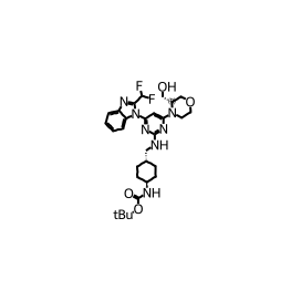 CC(C)(C)OC(=O)N[C@H]1CC[C@H](CNc2nc(N3CCOC[C@H]3CO)cc(-n3c(C(F)F)nc4ccccc43)n2)CC1